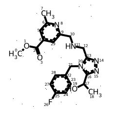 COC(=O)c1cc(C)nc(CNCc2nnc(C(C)O)n2Cc2ccc(F)cc2)c1